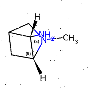 CN1CC2C[C@@H]1[C@H]2N